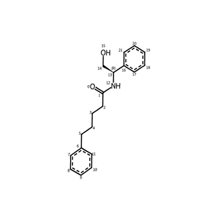 O=C(CCCCc1ccccc1)N[C@@H](CO)c1ccccc1